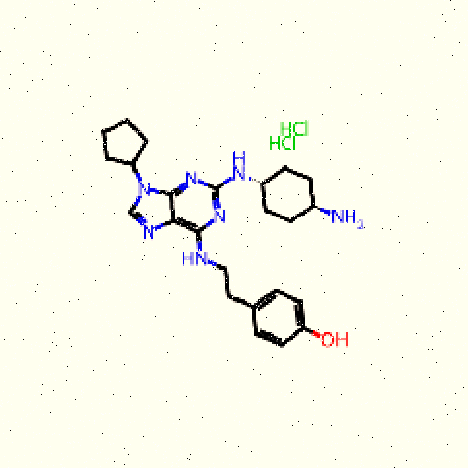 Cl.Cl.N[C@H]1CC[C@H](Nc2nc(NCCc3ccc(O)cc3)c3ncn(C4CCCC4)c3n2)CC1